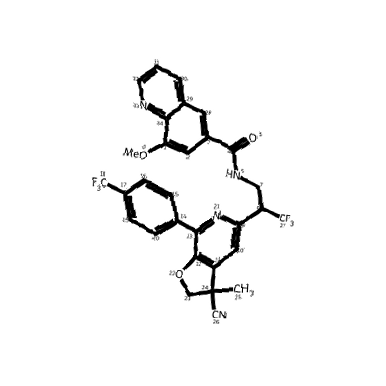 COc1cc(C(=O)NCC(c2cc3c(c(-c4ccc(C(F)(F)F)cc4)n2)OCC3(C)C#N)C(F)(F)F)cc2cccnc12